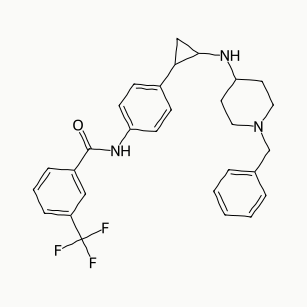 O=C(Nc1ccc(C2CC2NC2CCN(Cc3ccccc3)CC2)cc1)c1cccc(C(F)(F)F)c1